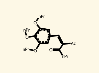 CCCOc1cc(C=C(C(C)=O)C(=O)CCC)cc(OCCC)c1OCCC